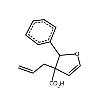 C=CCC1(C(=O)O)C=COC1c1ccccc1